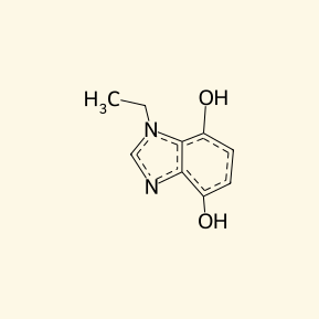 CCn1cnc2c(O)ccc(O)c21